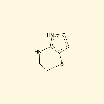 c1cc2c([nH]1)NCCS2